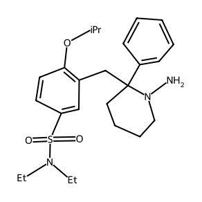 CCN(CC)S(=O)(=O)c1ccc(OC(C)C)c(CC2(c3ccccc3)CCCCN2N)c1